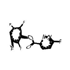 O=C(Oc1c(F)c(F)cc(F)c1F)c1ccc(F)nn1